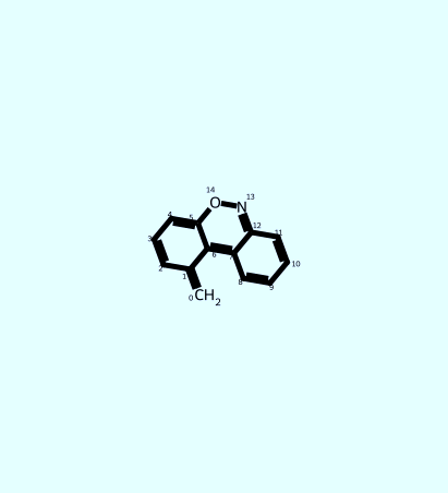 C=c1cccc2c1=c1ccccc1=NO2